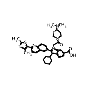 Cc1nc(C)c(-c2ccc3cc(-c4c(C5CCCCC5)c5ccc(C(=O)O)cc5n4CC(=O)N4CCC(N(C)C)CC4)ccc3n2)s1